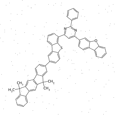 CC1(C)c2ccccc2-c2cc3c(cc21)-c1ccc(-c2ccc4sc5c(-c6cc(-c7ccc8c(c7)oc7ccccc78)nc(-c7ccccc7)n6)cccc5c4c2)cc1C3(C)C